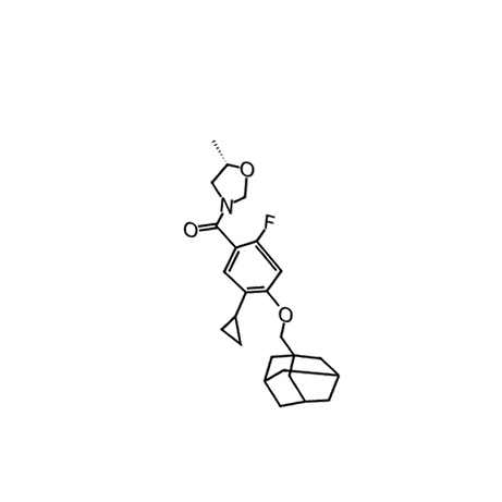 C[C@H]1CN(C(=O)c2cc(C3CC3)c(OCC34CC5CC(CC(C5)C3)C4)cc2F)CO1